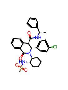 C[C@H](NC(=O)[C@@H]1c2ccccc2C(=O)N([C@H]2CCCC[C@@H]2NS(C)(=O)=O)[C@H]1c1ccc(Cl)cc1)c1ccccc1